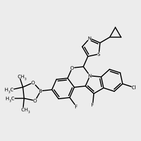 CC1(C)OB(c2cc(F)c3c(c2)OC(c2cnc(C4CC4)s2)n2c-3c(F)c3cc(Cl)ccc32)OC1(C)C